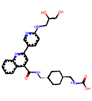 O=C(O)NC[C@H]1CC[C@H](CNC(=O)c2cc(-c3ccc(NCC(O)CO)nc3)nc3ccccc23)CC1